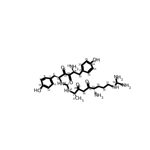 C[C@H](NCN[C@@H](Cc1ccc(O)cc1)C(=O)C(=O)[C@@H](N)Cc1ccc(O)cc1)C(=O)CC(=O)[C@@H](N)CCCNC(N)N